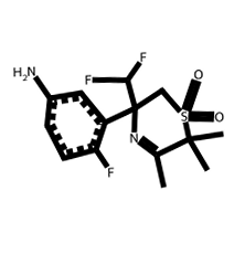 CC1=NC(c2cc(N)ccc2F)(C(F)F)CS(=O)(=O)C1(C)C